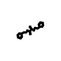 O=C(OC=Cc1ccccc1)C(=O)OC=Cc1ccccc1